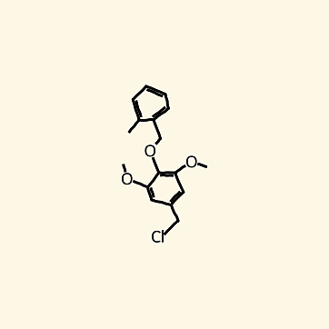 COc1cc(CCl)cc(OC)c1OCc1ccccc1C